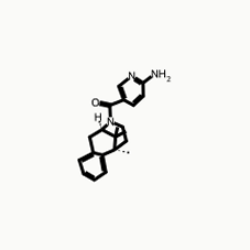 CC1(C)[C@H]2Cc3ccccc3[C@]1(C)CCN2C(=O)c1ccc(N)nc1